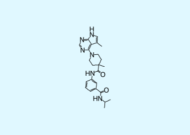 Cc1c[nH]c2ncnc(N3CCC(C)(C(=O)Nc4cccc(C(=O)NC(C)C)c4)CC3)c12